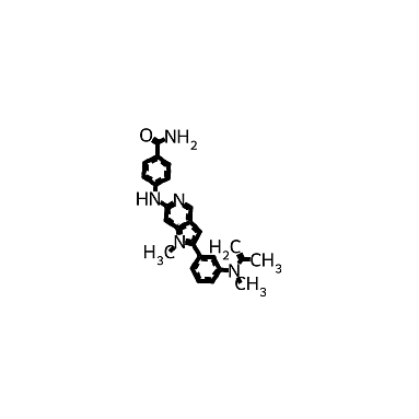 C=C(C)N(C)c1cccc(-c2cc3cnc(Nc4ccc(C(N)=O)cc4)cc3n2C)c1